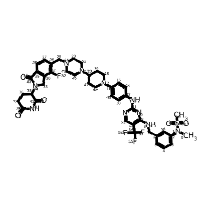 CN(c1cccc(CNc2nc(Nc3ccc(N4CCC(N5CCN(Cc6ccc7c(c6F)CN(C6CCC(=O)NC6=O)C7=O)CC5)CC4)cc3)ncc2C(F)(F)F)c1)S(C)(=O)=O